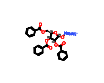 [N-]=[N+]=NO[C@H]1O[C@@H](COC(=O)c2ccccc2)[C@H](OC(=O)c2ccccc2)[C@@H]1OC(=O)c1ccccc1